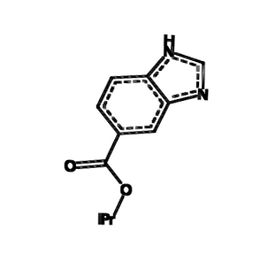 CC(C)OC(=O)c1ccc2[nH]cnc2c1